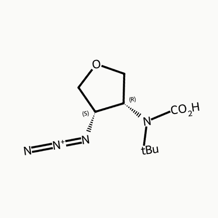 CC(C)(C)N(C(=O)O)[C@H]1COC[C@H]1N=[N+]=[N-]